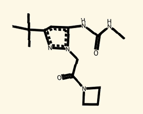 CNC(=O)Nc1cc(C(C)(C)C)nn1CC(=O)N1CCC1